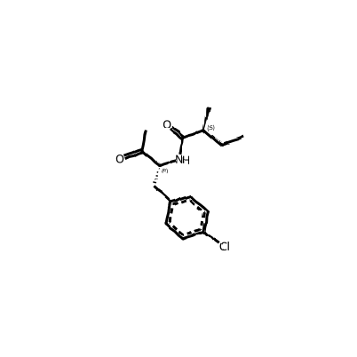 CC[C@H](C)C(=O)N[C@H](Cc1ccc(Cl)cc1)C(C)=O